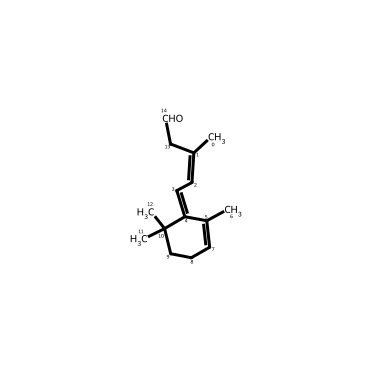 CC(=CC=C1C(C)=CCCC1(C)C)CC=O